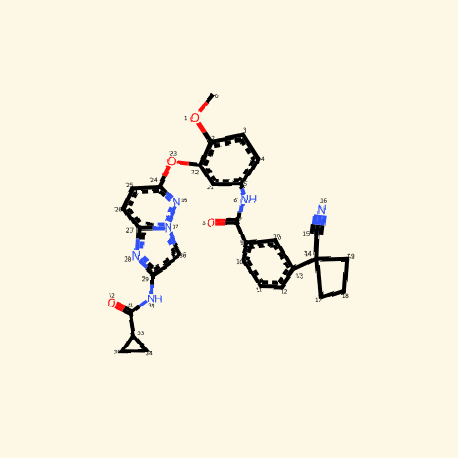 COc1ccc(NC(=O)c2cccc(C3(C#N)CCC3)c2)cc1Oc1ccc2nc(NC(=O)C3CC3)cn2n1